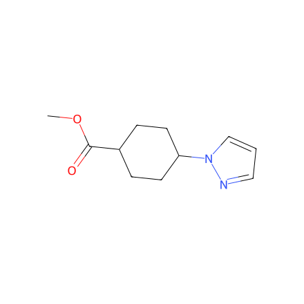 COC(=O)C1CCC(n2cccn2)CC1